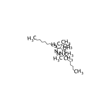 CCCCCCCCSC1=C(C(C)(C)C)C(O)(SCCCCCCCC)N(C(C)(C)C)N=N1